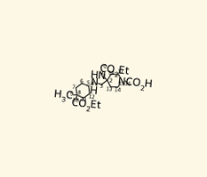 CCOC(=O)NC1(CN[C@H]2CC[C@](C)(C(=O)OCC)CC2)CCN(C(=O)O)CC1